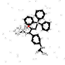 CC(=O)Nc1ccc(C(O[Si](C)(C)C)C(C)C[P+](c2ccccc2)(c2ccccc2)c2ccccc2)cc1.[I-]